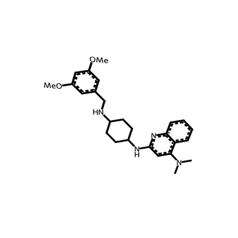 COc1cc(CNC2CCC(Nc3cc(N(C)C)c4ccccc4n3)CC2)cc(OC)c1